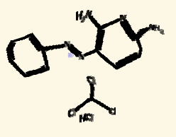 Cl.ClC(Cl)Cl.Nc1ccc(/N=N/c2ccccc2)c(N)n1